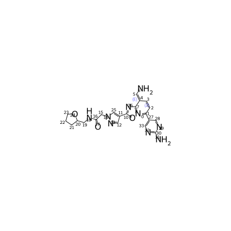 C=C(/C=C\C(=C/N)c1noc(-c2cnn(CC(=O)NCC3CCCO3)c2)n1)c1cnc(N)nc1